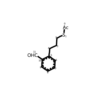 CC(=O)SCCCc1ccccc1C=O